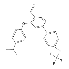 CC(C)c1ccc(Oc2cc(-c3ccc(OC(F)(F)F)cc3)ccc2C=O)cc1